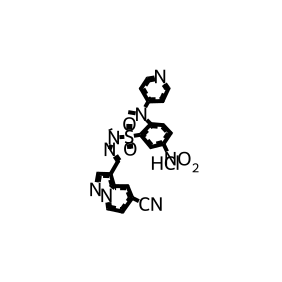 CN(c1ccncc1)c1ccc([N+](=O)[O-])cc1S(=O)(=O)N(C)N=Cc1cnn2ccc(C#N)cc12.Cl